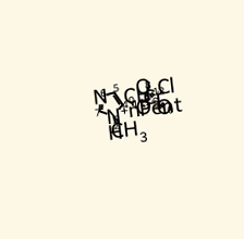 CCCCCC.C[NH+]1C=CN=C1.[O]=[Cr](=[O])([O-])[Cl]